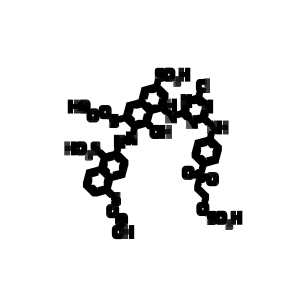 O=S(=O)(O)OCCS(=O)(=O)c1ccc(Nc2nc(Cl)nc(Nc3cc(S(=O)(=O)O)cc4cc(SOOO)c(/N=N/c5ccc6c(SOOO)cccc6c5S(=O)(=O)O)c(O)c34)n2)cc1